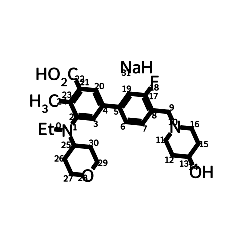 CCN(c1cc(-c2ccc(CN3CCC(O)CC3)c(F)c2)cc(C(=O)O)c1C)C1CCOCC1.[NaH]